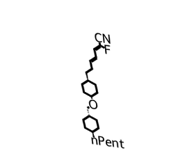 CCCCC[C@H]1CC[C@H](CO[C@H]2CC[C@H](CCC=CC=C(F)C#N)CC2)CC1